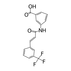 O=C(C=Cc1cccc(C(F)(F)F)c1)Nc1cccc(C(=O)O)c1